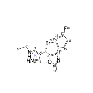 CCN/C=C(\C=N)Cc1oc(C)nc1-c1ccc(F)cc1Br